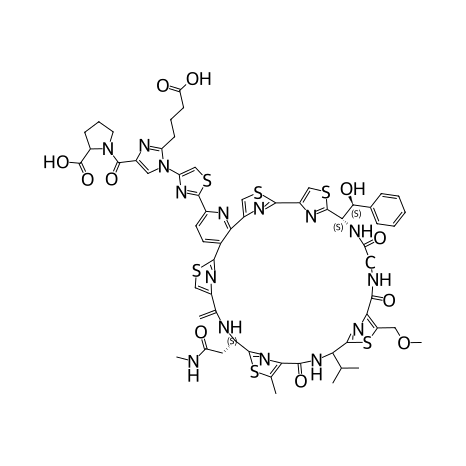 C=C1N[C@@H](CC(=O)NC)c2nc(c(C)s2)C(=O)NC(C(C)C)c2nc(c(COC)s2)C(=O)NCC(=O)N[C@@H]([C@@H](O)c2ccccc2)c2nc(cs2)-c2nc(cs2)-c2nc(-c3nc(-n4cc(C(=O)N5CCCC5C(=O)O)nc4CCCC(=O)O)cs3)ccc2-c2nc1cs2